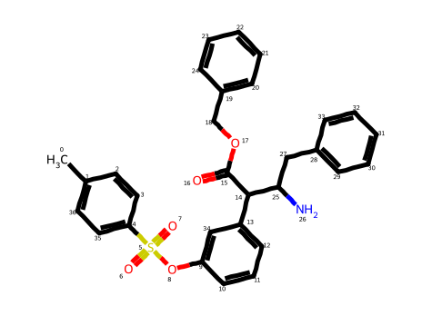 Cc1ccc(S(=O)(=O)Oc2cccc(C(C(=O)OCc3ccccc3)C(N)Cc3ccccc3)c2)cc1